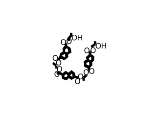 CC(O)COC(=O)c1ccc2cc(C(=O)OCC(C)OC(=O)c3ccc4cc(C(=O)OCC(C)OC(=O)c5ccc6ccc(C(=O)OCC(C)O)cc6c5)ccc4c3)ccc2c1